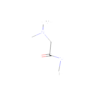 CON(C)CC(=O)NC(C)C